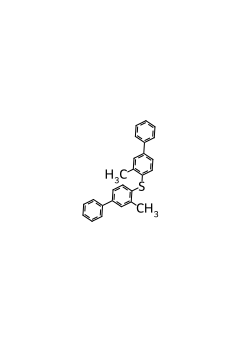 Cc1cc(-c2ccccc2)ccc1Sc1ccc(-c2ccccc2)cc1C